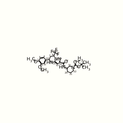 COc1ccc(C2CC(C(F)(F)F)n3nc(C(=O)NC4CCCN(C(=O)OC(C)(C)C)C4)cc3N2)cc1OC